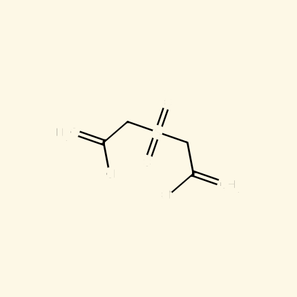 C=C(Cl)CS(=O)(=O)CC(=C)Cl